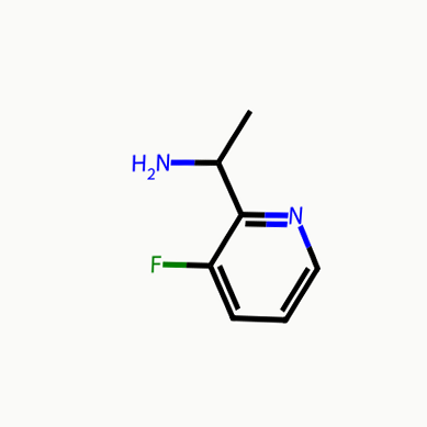 CC(N)c1ncccc1F